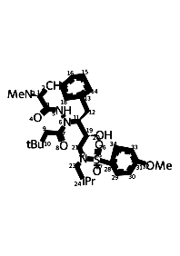 CN[C@H](C)C(=O)NN(C(=O)CC(C)(C)C)[C@@H](Cc1ccccc1)[C@H](O)CN(CC(C)C)S(=O)(=O)c1ccc(OC)cc1